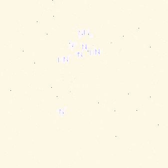 Nc1nc(Nc2ccc(OCCN3CCCC3)cc2)nn1C(=S)Nc1c(F)cccc1F